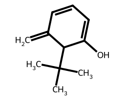 C=C1C=CC=C(O)C1C(C)(C)C